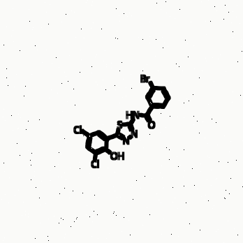 O=C(Nc1nnc(-c2cc(Cl)cc(Cl)c2O)s1)c1cccc(Br)c1